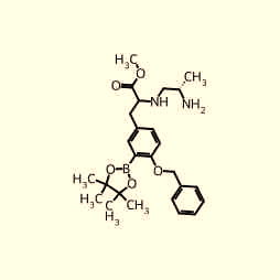 COC(=O)C(Cc1ccc(OCc2ccccc2)c(B2OC(C)(C)C(C)(C)O2)c1)NC[C@H](C)N